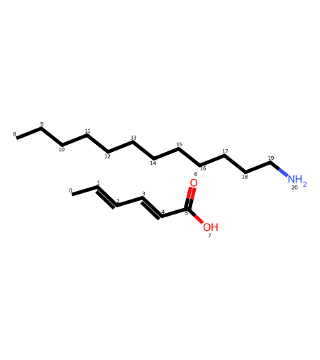 CC=CC=CC(=O)O.CCCCCCCCCCCCN